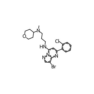 CN(CCCNc1cc(-c2ccccc2Cl)nc2c(Br)cnn12)C1CCOCC1